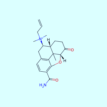 C=CC[N+](C)(C)[C@@H]1Cc2ccc(C(N)=O)c3c2C2(C)[C@@H](O3)C(=O)CC[C@@H]12